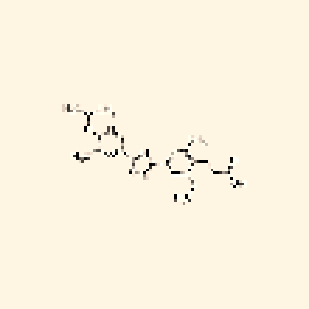 CCc1cc(-c2noc(-c3cnc(OC(C)C)c(C)c3)n2)cc(C)c1CCC(=O)O